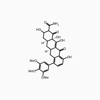 COc1cc(-c2ccc(O)c3c2C[C@H]2C[C@H]4CC(O)C(C(N)=O)C(=O)[C@@]4(O)C(O)=C2C3=O)cc(OC)c1OC